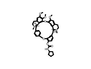 COc1cc2c3cc1Oc1c(OC)c(OC)cc4c1[C@H](Cc1ccc(cc1)Oc1cc(ccc1OC(=O)NC1CCCC1)C[C@H]3N(C)CC2)N(C)CC4